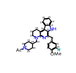 COc1ccc(Cc2nc3c(c4c2[nH]c2ccccc24)CCCN3CC2CCN(C(C)=O)CC2)cc1F